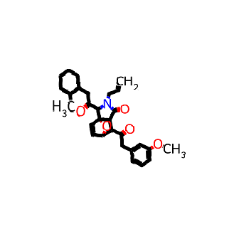 C=CCN1C(=O)C2C(C(=O)Cc3cccc(OC)c3)C3C=CC2(O3)C1C(=O)CC1CCCCC1C